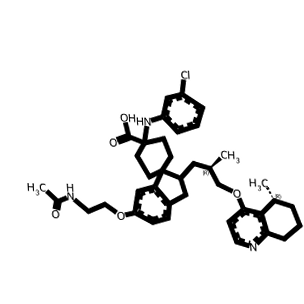 CC(=O)NCCOc1ccc2c(c1)C1(CCC(Nc3cccc(Cl)c3)(C(=O)O)CC1)C(C[C@@H](C)COc1ccnc3c1[C@H](C)CCC3)C2